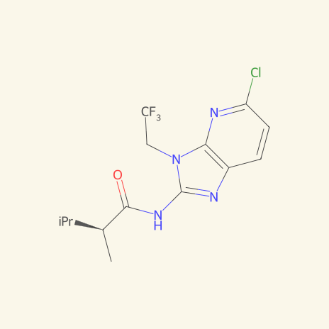 CC(C)[C@H](C)C(=O)Nc1nc2ccc(Cl)nc2n1CC(F)(F)F